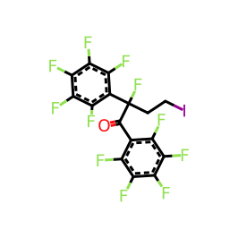 O=C(c1c(F)c(F)c(F)c(F)c1F)C(F)(CCI)c1c(F)c(F)c(F)c(F)c1F